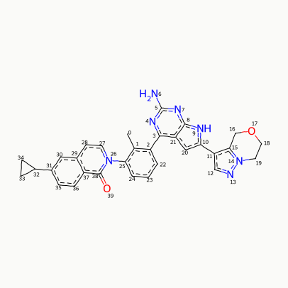 Cc1c(-c2nc(N)nc3[nH]c(-c4cnn5c4COCC5)cc23)cccc1-n1ccc2cc(C3CC3)ccc2c1=O